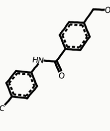 Cc1ccc(NC(=O)c2ccc(CO)cc2)cc1